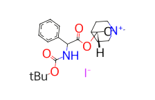 CC(C)(C)OC(=O)NC(C(=O)O[C@H]1C[N+]2(C)CCC1CC2)c1ccccc1.[I-]